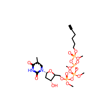 C#CCCCCOP(=O)(OC)OP(=O)(OC)OP(=O)(OC)OP(=O)(OC)OCC1O[C@@H](n2cc(C)c(=O)[nH]c2=O)C[C@H]1O